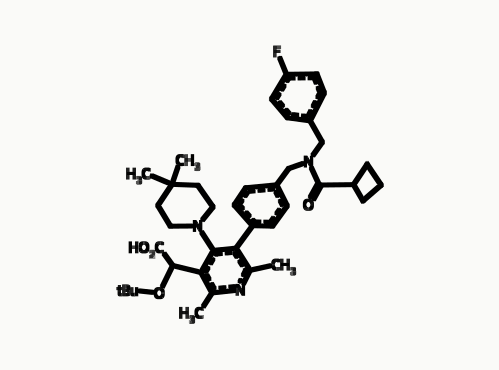 Cc1nc(C)c(C(OC(C)(C)C)C(=O)O)c(N2CCC(C)(C)CC2)c1-c1ccc(CN(Cc2ccc(F)cc2)C(=O)C2CCC2)cc1